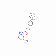 N#Cc1cccc(NC(=O)COc2ccc(C34CC5CC(CC(C5)C3)C4)cc2)c1